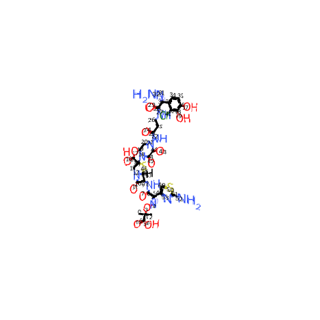 CC(C)(O/N=C(\C(=O)NC1C(=O)N2C[C@@](C(=O)O)(N3CCN(NC(=O)CCNC(=O)/C(=N\N)c4ccc(O)c(O)c4Cl)C(=O)C3=O)S[C@H]12)c1csc(N)n1)C(=O)O